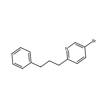 Brc1ccc(CCCc2ccccc2)nc1